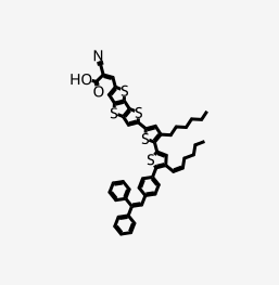 CCCC/C=C\c1cc(-c2sc(-c3cc4sc5cc(/C=C(/C#N)C(=O)O)sc5c4s3)cc2CCCCCC)sc1-c1ccc(C=C(c2ccccc2)c2ccccc2)cc1